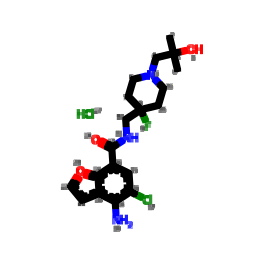 CC(C)(O)CN1CCC(F)(CNC(=O)c2cc(Cl)c(N)c3ccoc23)CC1.Cl